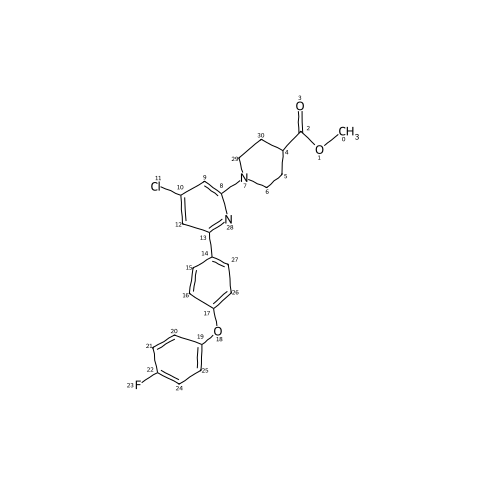 COC(=O)C1CCN(c2cc(Cl)cc(-c3ccc(Oc4ccc(F)cc4)cc3)n2)CC1